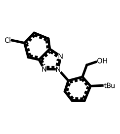 CC(C)(C)c1cccc(-n2nc3ccc(Cl)cc3n2)c1CO